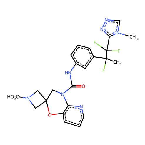 Cn1cnnc1C(F)(F)C(C)(F)c1cccc(NC(=O)N2CC3(CN(C(=O)O)C3)Oc3cccnc32)c1